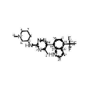 Cc1nc(N[C@@H]2CCCN(C)C2)nnc1-c1ccc(C(F)(F)F)c2cc[nH]c12